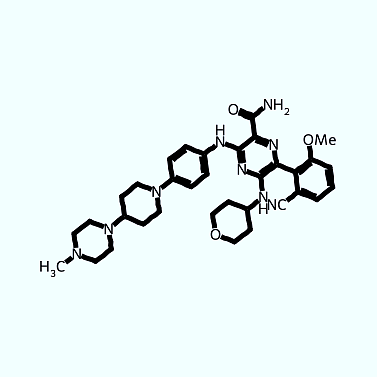 COc1cccc(C#N)c1-c1nc(C(N)=O)c(Nc2ccc(N3CCC(N4CCN(C)CC4)CC3)cc2)nc1NC1CCOCC1